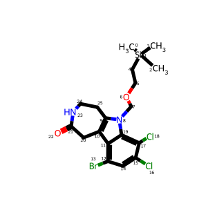 C[Si](C)(C)CCOCn1c2c(c3c(Br)cc(Cl)c(Cl)c31)CC(=O)NCC2